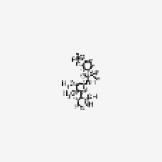 Cc1cc(NC(=O)C2(c3ccc4c(c3)OC(F)(F)O4)CC2)nc(C2=CC=CNC2O)c1C